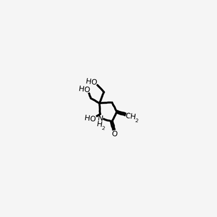 C=C(CC(CO)(CO)CO)C(N)=O